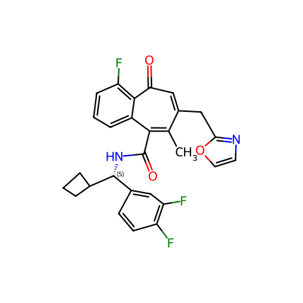 Cc1c(Cc2ncco2)cc(=O)c2c(F)cccc2c1C(=O)N[C@H](c1ccc(F)c(F)c1)C1CCC1